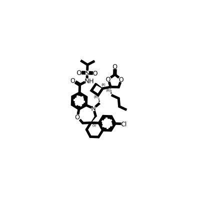 CCCC[C@@]1([C@@H]2CC[C@H]2CN2C[C@@]3(CCCc4cc(Cl)ccc43)COc3ccc(C(=O)NS(=O)(=O)C(C)C)cc32)COC(=O)O1